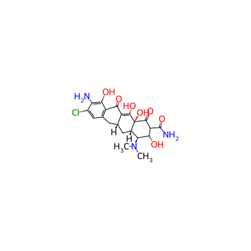 CN(C)[C@@H]1C(O)C(C(N)=O)C(=O)[C@@]2(O)C(O)=C3C(=O)c4c(cc(Cl)c(N)c4O)C[C@H]3C[C@@H]12